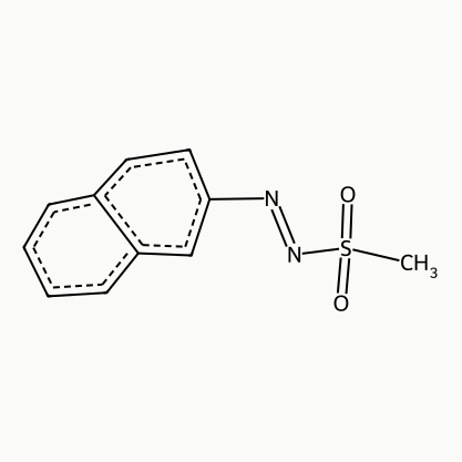 CS(=O)(=O)N=Nc1ccc2ccccc2c1